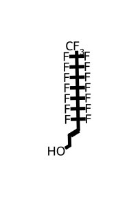 OC/C=C/C(F)(F)C(F)(F)C(F)(F)C(F)(F)C(F)(F)C(F)(F)C(F)(F)C(F)(F)F